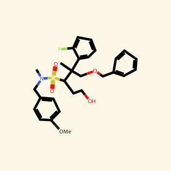 COc1ccc(CN(C)S(=O)(=O)C(CCO)C(C)(COCc2ccccc2)c2ccccc2F)cc1